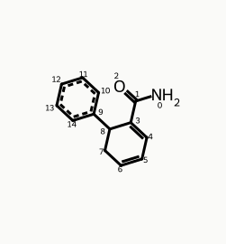 NC(=O)C1=CC=CCC1c1ccccc1